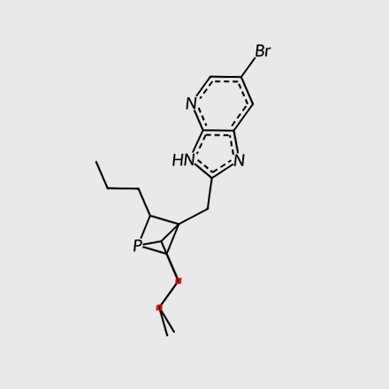 CCCC1P2C(CCC)C1(Cc1nc3cc(Br)cnc3[nH]1)C2CCC